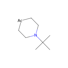 CC(C)(C)N1C[CH2][Ac][CH2]C1